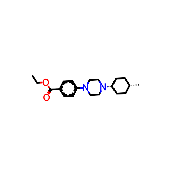 CCOC(=O)c1ccc(N2CCN([C@H]3CC[C@@H](C)CC3)CC2)cc1